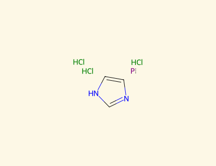 Cl.Cl.Cl.[P].c1c[nH]cn1